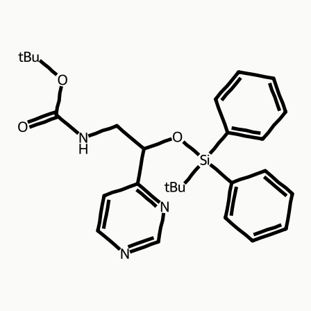 CC(C)(C)OC(=O)NCC(O[Si](c1ccccc1)(c1ccccc1)C(C)(C)C)c1ccncn1